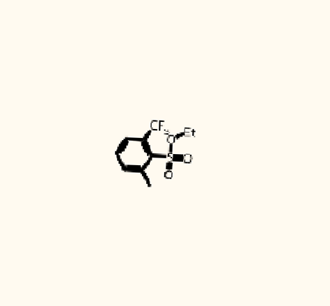 CCOS(=O)(=O)c1c(C)cccc1C(F)(F)F